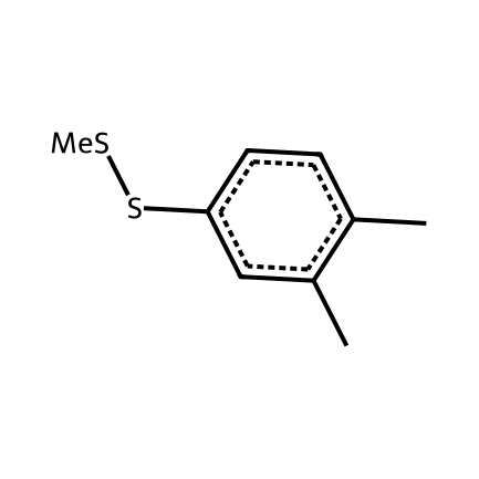 CSSc1ccc(C)c(C)c1